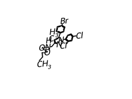 CCCCS(=O)(=O)NCc1nn(-c2ccc(Cl)cc2Cl)c(-c2ccc(Br)cc2)c1C